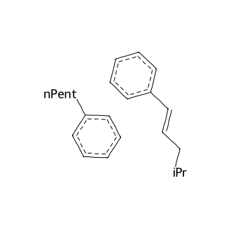 CC(C)CC=Cc1ccccc1.CCCCCc1ccccc1